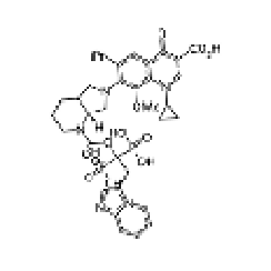 COc1c(N2CC3CCCN(C(=O)OC(Cc4cnc5ccccn45)(P(=O)(O)O)P(=O)(O)O)[C@H]3C2)c(C(C)C)cc2c(=O)c(C(=O)O)cn(C3CC3)c12